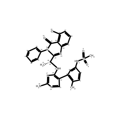 Cc1ccc(NS(C)(=O)=O)cc1-c1cnc(N)nc1N[C@H](C)c1nc2cccc(Cl)c2c(=O)n1-c1ccccc1